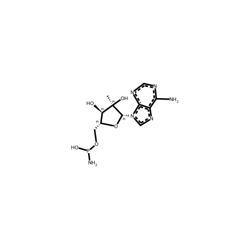 C[C@@]1(O)[C@H](O)[C@@H](COP(N)O)O[C@H]1n1cnc2c(N)ncnc21